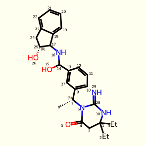 CCC1(CC)CC(=O)N([C@H](C)c2cccc(C(O)NC3c4ccccc4C[C@H]3O)c2)C(=N)N1